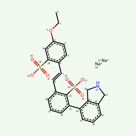 CCOc1ccc(C=Cc2cccc(-c3cccc4c3CNC4)c2S(=O)(=O)[O-])c(S(=O)(=O)[O-])c1.[Na+].[Na+]